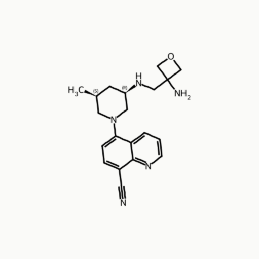 C[C@H]1C[C@@H](NCC2(N)COC2)CN(c2ccc(C#N)c3ncccc23)C1